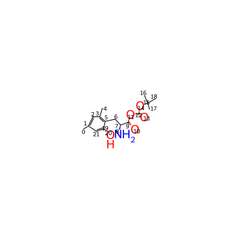 Cc1cc(C)c(C[C@H](N)C(=O)OC(=O)OC(C)(C)C)c(O)c1